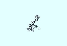 CCOC(=O)Nc1cc(F)c(NCc2ccc(C(F)(F)F)cc2)cc1N